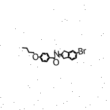 CCCCOc1ccc(C(=O)N(C)[C@@H]2Cc3ccc(Br)cc3C2)cc1